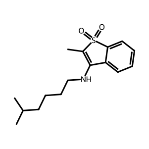 CC1=C(NCCCCC(C)C)c2ccccc2S1(=O)=O